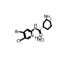 Cl.Cl.N[C@@H]1CCC[C@H](C(=O)Nc2cc(Br)c(Cl)cn2)C1